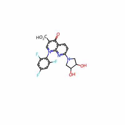 O=C(O)c1cn(-c2c(F)cc(F)cc2F)c2nc(N3CC(O)C(O)C3)ccc2c1=O